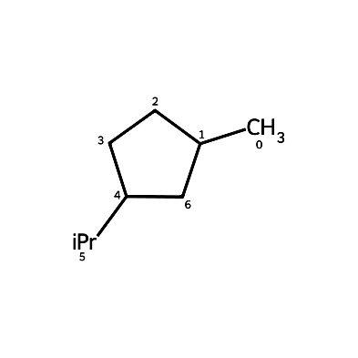 CC1CCC(C(C)C)C1